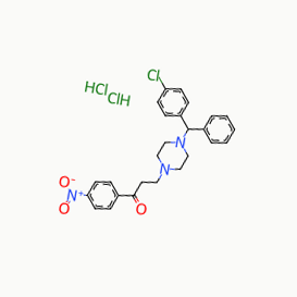 Cl.Cl.O=C(CCN1CCN(C(c2ccccc2)c2ccc(Cl)cc2)CC1)c1ccc([N+](=O)[O-])cc1